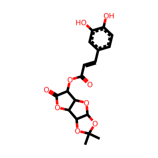 CC1(C)OC2OC3C(OC(=O)/C=C/c4ccc(O)c(O)c4)C(=O)OC3C2O1